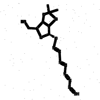 CC1(C)OC2C(CO)O[C@@H](ON=NN=NN=NN=N)C2O1